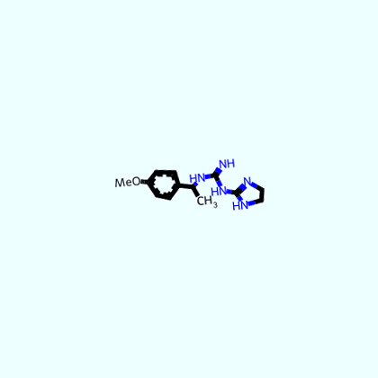 COc1ccc(C(C)NC(=N)NC2=NCCN2)cc1